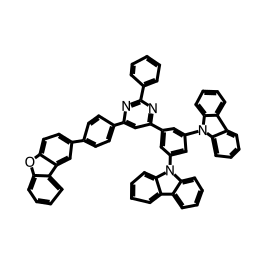 c1ccc(-c2nc(-c3ccc(-c4ccc5oc6ccccc6c5c4)cc3)cc(-c3cc(-n4c5ccccc5c5ccccc54)cc(-n4c5ccccc5c5ccccc54)c3)n2)cc1